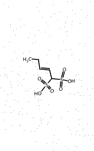 CCC=CC(S(=O)(=O)O)S(=O)(=O)O